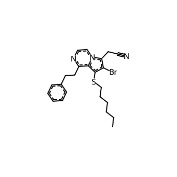 CCCCCCSc1c(Br)c(CC#N)n2ccnc(CCc3ccccc3)c12